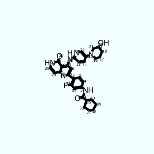 O=C(Nc1ccc(-c2cc(Nc3ccc(N4CCC[C@H](O)C4)cn3)c3c(=O)[nH]ccc3n2)c(F)c1)C1CCCCC1